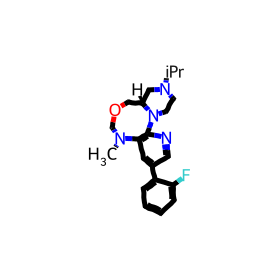 CC(C)N1CCN2c3ncc(-c4ccccc4F)cc3N(C)COC[C@@H]2C1